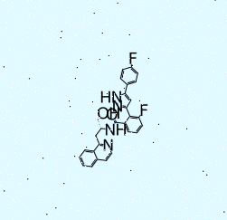 O=C(N[C@@H](CO)Cc1nccc2ccccc12)c1cccc(F)c1-c1cc(-c2ccc(F)cc2)[nH]n1